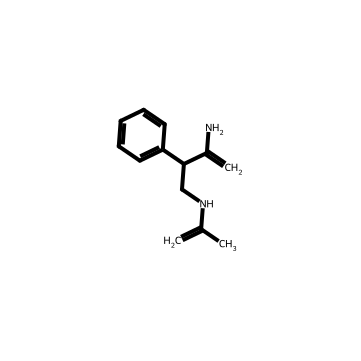 C=C(C)NCC(C(=C)N)c1ccccc1